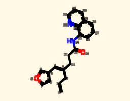 C=CCC(=Cc1ccoc1)CCC(=O)Nc1cccc2cccnc12